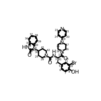 O=C(N[C@H](Cc1ccc(O)c(Br)c1)C(=O)N1CCN(c2ccncc2)CC1)N1CCC(n2c(=O)[nH]c3ccccc32)CC1